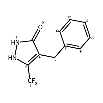 O=c1[nH][nH]c(C(F)(F)F)c1Cc1ccccc1